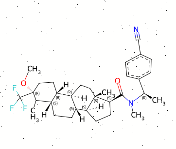 CO[C@]1(C(F)(F)F)CC[C@@H]2[C@H]3CC[C@]4(C)[C@@H](C(=O)N(C)[C@H](C)c5ccc(C#N)cc5)CC[C@H]4[C@@H]3CC[C@@H]2C1C